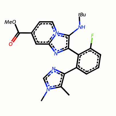 COC(=O)c1ccn2c(NC(C)(C)C)c(-c3c(F)cccc3-c3ncn(C)c3C)nc2c1